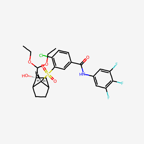 CCOC(OCC)[C@@]1(O)CC2CCC1[C@@H]2S(=O)(=O)c1cc(C(=O)Nc2cc(F)c(F)c(F)c2)ccc1Cl